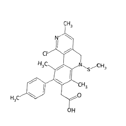 CSN1Cc2cc(C)nc(Cl)c2-c2c(C)c(-c3ccc(C)cc3)c(CC(=O)O)c(C)c21